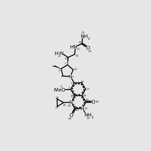 COc1c(N2C[C@@H](C)[C@@H](C(N)CNC(N)=O)C2)ccc2c(=O)n(N)c(=O)n(C3CC3)c12